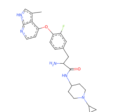 Cc1c[nH]c2nccc(Oc3ccc(CC(N)C(=O)NC4CCN(C5CC5)CC4)cc3F)c12